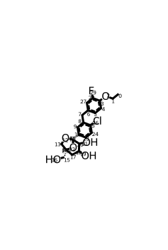 CCOc1ccc(Cc2cc([C@]34OC[C@](CO)(CC(O)C3O)O4)ccc2Cl)cc1F